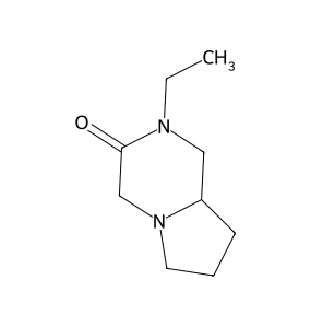 CCN1CC2CCCN2CC1=O